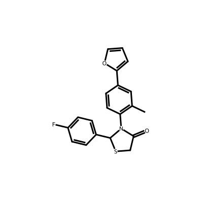 Cc1cc(-c2ccco2)ccc1N1C(=O)CSC1c1ccc(F)cc1